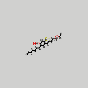 CCCCCCCCCCCCCCCOCC.OCCCS